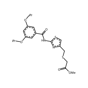 COC(=O)CSCc1csc(NC(=O)c2cc(OC(C)C)cc(OC(C)C)c2)n1